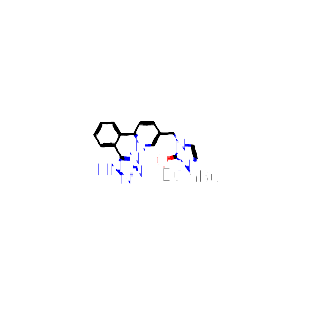 CCCC[N+]1(CC)C=CN(Cc2ccc(-c3ccccc3-c3nnn[nH]3)nc2)C1=O